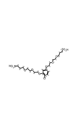 O=S(=O)(O)CCCOCCOCCOc1ccc(Cl)c(OCCOCCOCCCS(=O)(=O)O)c1